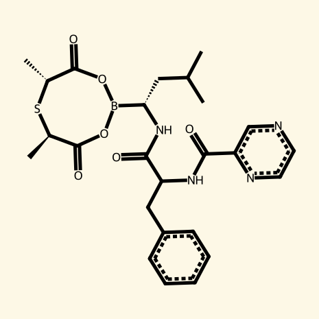 CC(C)C[C@H](NC(=O)C(Cc1ccccc1)NC(=O)c1cnccn1)B1OC(=O)[C@@H](C)S[C@H](C)C(=O)O1